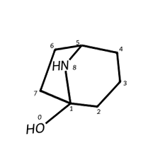 OC12CCCC(CC1)N2